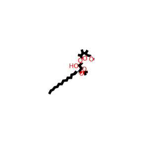 CCCCCCCCCCCCC=C[C@H]1OC(C)(C)O[C@H]1[C@@H](O)COC1OC(COC)C(C)C(C)C1C